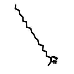 CCCCCCCCCCCCCCCCCCC1=C(C)[N]C=C1